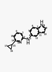 c1cc(Nc2ccc3[nH]ccc3c2)nc(C2CC2)c1